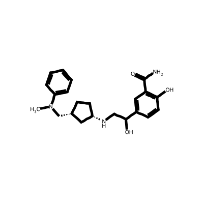 CN(C[C@@H]1CC[C@H](NCC(O)c2ccc(O)c(C(N)=O)c2)C1)c1ccccc1